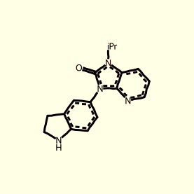 CC(C)n1c(=O)n(-c2ccc3c(c2)CCN3)c2ncccc21